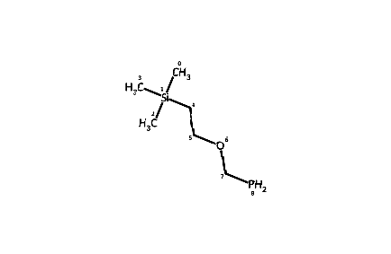 C[Si](C)(C)CCOCP